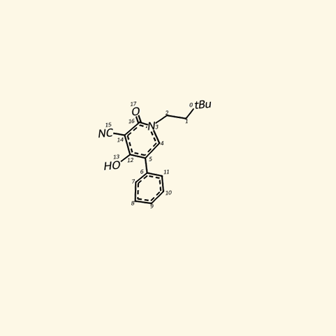 CC(C)(C)CCn1cc(-c2ccccc2)c(O)c(C#N)c1=O